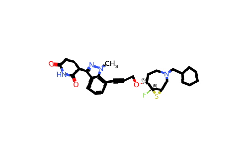 Cn1nc(C2CCC(=O)NC2=O)c2cccc(C#CCO[C@@H]3CCN(CC4CCCCC4)CC4S[C@@]43F)c21